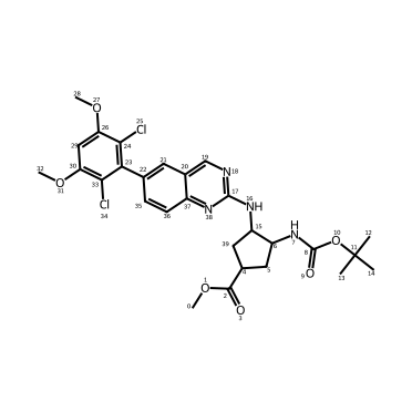 COC(=O)C1CC(NC(=O)OC(C)(C)C)C(Nc2ncc3cc(-c4c(Cl)c(OC)cc(OC)c4Cl)ccc3n2)C1